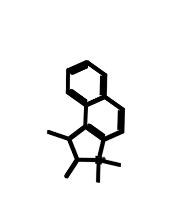 CC1c2c(ccc3ccccc23)[N+](C)(C)C1C